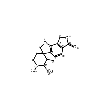 [2H]N1CCC2(COc3c2ccc2c3COC2=O)C(C)C1C(C)(C)C